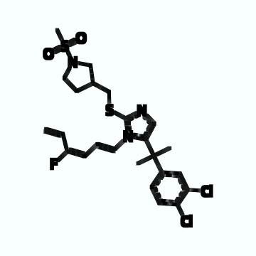 C=C/C(F)=C\C=C\n1c(C(C)(C)c2ccc(Cl)c(Cl)c2)cnc1SCC1CCN(S(C)(=O)=O)C1